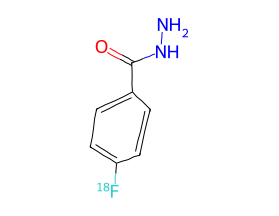 NNC(=O)c1ccc([18F])cc1